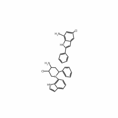 NC1CC(c2ccccc2)N(c2cccc3cc[nH]c23)CC1Cl.Nc1cc(Cl)cc2cc(-c3ccccc3)[nH]c12